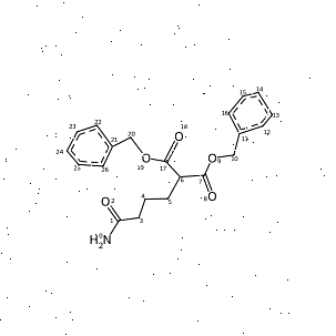 NC(=O)CCCC(C(=O)OCc1ccccc1)C(=O)OCc1ccccc1